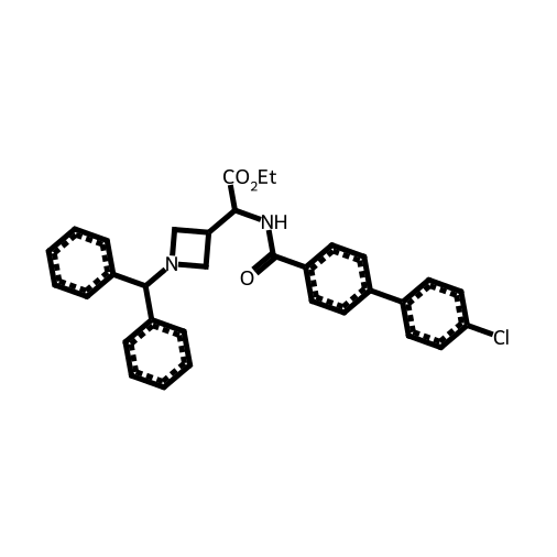 CCOC(=O)C(NC(=O)c1ccc(-c2ccc(Cl)cc2)cc1)C1CN(C(c2ccccc2)c2ccccc2)C1